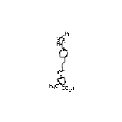 Cc1cc(OCCCC2CCN(c3nnn(C(C)C)n3)CC2)ccc1C(=O)O